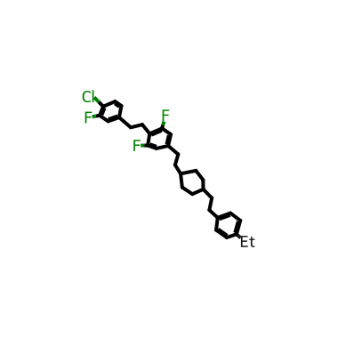 CCc1ccc(CCC2CCC(CCc3cc(F)c(CCc4ccc(Cl)c(F)c4)c(F)c3)CC2)cc1